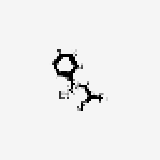 CCN(CC(F)F)c1ccccc1